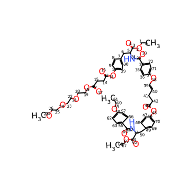 CCOC(=O)C(Cc1ccc(OC(=O)CCC(=O)OCCOCCOCCOC)cc1)NC(=O)c1ccc(O/C=C/CCC(=O)Oc2ccc(CC(NC(=O)c3ccc(OCC)cc3)C(=O)OCC)cc2)cc1